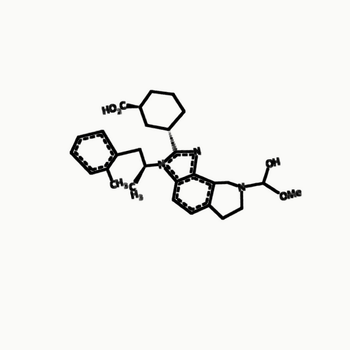 COC(O)N1CCc2ccc3c(nc([C@H]4CCC[C@H](C(=O)O)C4)n3[C@@H](C)Cc3ccccc3C)c2C1